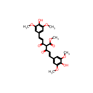 COC(=O)C(C(=O)/C=C/c1cc(OC)c(O)c(OC)c1)C(=O)/C=C/c1cc(OC)c(O)c(OC)c1